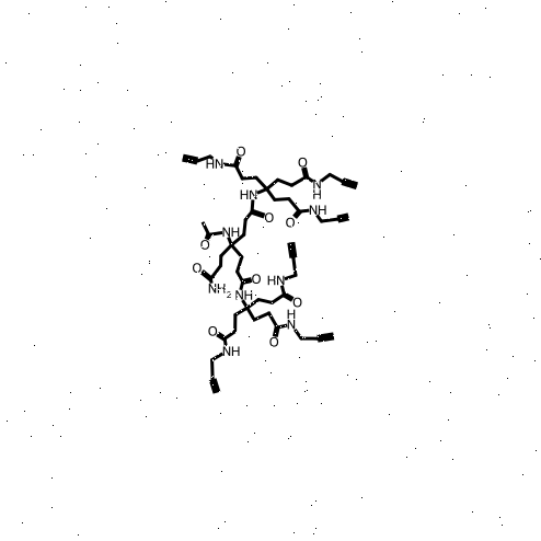 C#CCNC(=O)CCC(CCC(=O)NCC#C)(CCC(=O)NCC#C)NC(=O)CCC(CCC(N)=O)(CCC(=O)NC(CCC(=O)NCC#C)(CCC(=O)NCC#C)CCC(=O)NCC#C)NC(C)=O